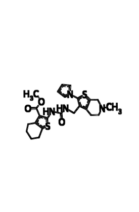 COC(=O)c1c(NC(=O)NCc2c(-n3cccc3)sc3c2CCN(C)C3)sc2c1CCCC2